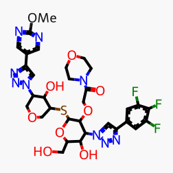 COc1ncc(-c2cn(C3COCC(SC4OC(CO)C(O)C(n5cc(-c6cc(F)c(F)c(F)c6)nn5)C4OCC(=O)N4CCOCC4)C3O)nn2)cn1